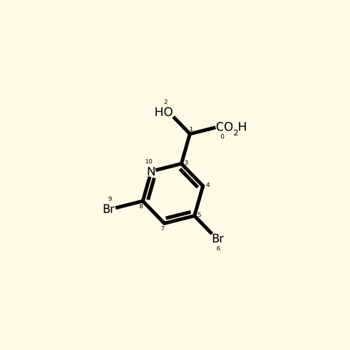 O=C(O)C(O)c1cc(Br)cc(Br)n1